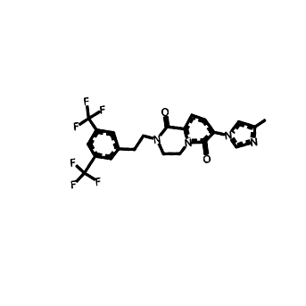 Cc1cn(-c2ccc3n(c2=O)CCN(CCc2cc(C(F)(F)F)cc(C(F)(F)F)c2)C3=O)cn1